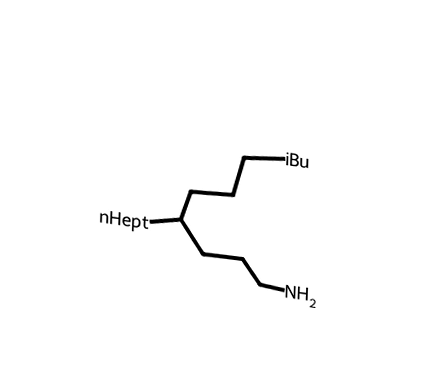 CCCCCCCC(CCCN)CCCC(C)CC